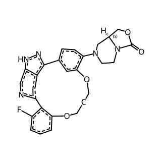 O=C1OC[C@@H]2CN(c3ccc4cc3OCCCOc3cccc(F)c3-c3cc5c-4n[nH]c5cn3)CCN12